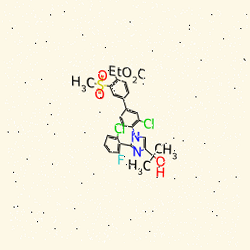 CCOC(=O)c1ccc(-c2ccc(-n3cc(C(C)(C)O)nc3-c3c(F)cccc3Cl)c(Cl)c2)cc1S(C)(=O)=O